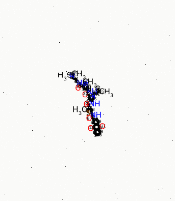 Cc1sc(NC(=O)c2ccc3c(c2)C(=O)c2ccccc2C3=O)cc1C(=O)Nc1cc(C(=O)Nc2cc(C(=O)NCCCN(C)C)n(C)c2)n(CCC(C)C)c1